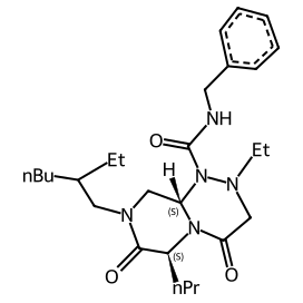 CCCCC(CC)CN1C[C@H]2N(C(=O)CN(CC)N2C(=O)NCc2ccccc2)[C@@H](CCC)C1=O